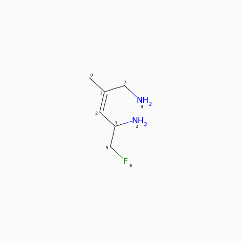 CC(=CC(N)CF)CN